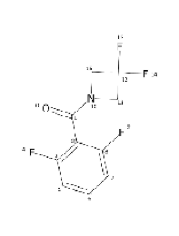 O=C(c1c(F)c[c]cc1F)N1CC(F)(F)C1